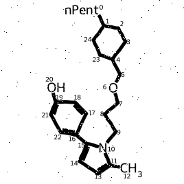 CCCCCC1CCC(COCCCn2c(C)ccc2-c2ccc(O)cc2)CC1